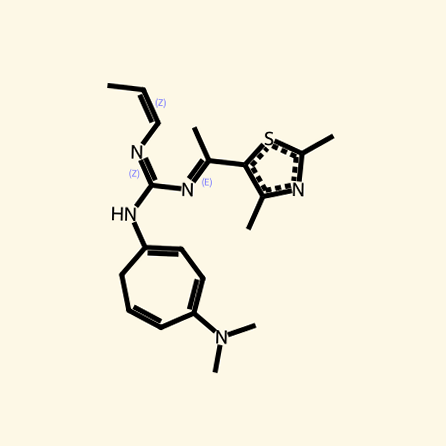 C\C=C/N=C(\N=C(/C)c1sc(C)nc1C)NC1=CC=C(N(C)C)C=CC1